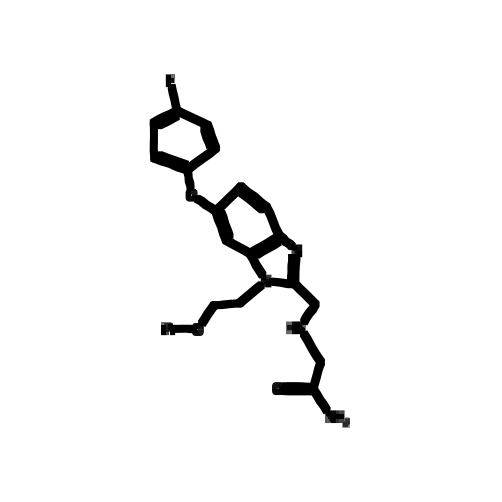 CC(C)OCCn1c(CNCC(N)=O)nc2ccc(Oc3ccc(F)cc3)cc21